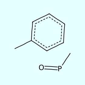 CP=O.Cc1ccccc1